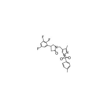 Cc1ccc(S(=O)(=O)n2cc(CN3CC(c4cc(F)cc(F)c4F)CC3=O)c(C)n2)cc1